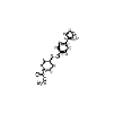 CC(C)OC(=O)N1CCC(COc2ccc(-c3ccn[nH]3)nc2)CC1